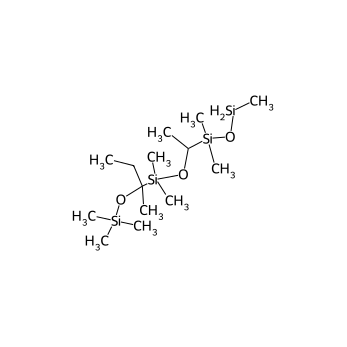 CCC(C)(O[Si](C)(C)C)[Si](C)(C)OC(C)[Si](C)(C)O[SiH2]C